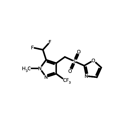 Cn1nc(C(F)(F)F)c(CS(=O)(=O)c2ncco2)c1C(F)F